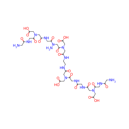 NCC(=O)NCC(=O)N(CC(=O)O)CC(=O)NCC(=O)NCC(=O)N(CC(=O)O)CC(=O)NCCNC(=O)CN(CC(=O)O)C(=O)CN(N)C(=O)CNC(=O)CN(CC(=O)O)C(=O)CNC(=O)CN